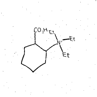 CC[N+](CC)(CC)C1CCCCC1C(=O)O